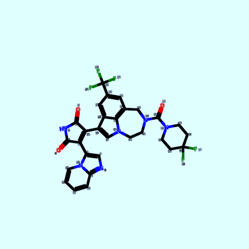 O=C1NC(=O)C(c2cnc3ccccn23)=C1c1cn2c3c(cc(C(F)(F)F)cc13)CN(C(=O)N1CCC(F)(F)CC1)CC2